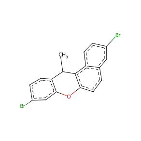 CC1c2ccc(Br)cc2Oc2ccc3cc(Br)ccc3c21